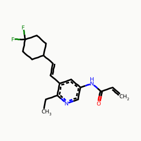 C=CC(=O)Nc1cnc(CC)c(/C=C/C2CCC(F)(F)CC2)c1